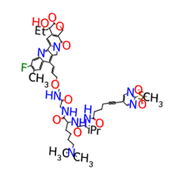 CC[C@@]1(O)C(=O)OCc2c1cc1n(c2=O)Cc2c-1nc1cc(F)c(C)cc1c2/C=C/COCNC(=O)CNC(=O)C(CCCCN(C)C)NC(=O)C(NC(=O)CCCC#Cc1cnc(S(C)(=O)=O)nc1)C(C)C